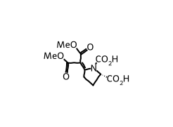 COC(=O)C(C(=O)OC)=C1CC[C@@H](C(=O)O)N1C(=O)O